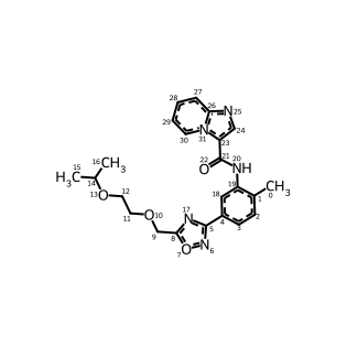 Cc1ccc(-c2noc(COCCOC(C)C)n2)cc1NC(=O)c1cnc2ccccn12